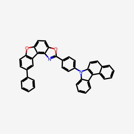 c1ccc(-c2ccc3oc4ccc5oc(-c6ccc(-n7c8ccccc8c8c9ccccc9ccc87)cc6)nc5c4c3c2)cc1